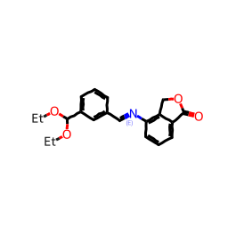 CCOC(OCC)c1cccc(/C=N/c2cccc3c2COC3=O)c1